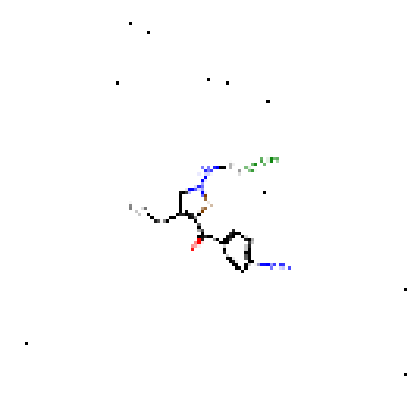 CCC1=C(C(=O)c2ccc(N)cc2)SN(NC)C1.Cl.Cl